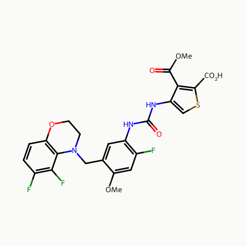 COC(=O)c1c(NC(=O)Nc2cc(CN3CCOc4ccc(F)c(F)c43)c(OC)cc2F)csc1C(=O)O